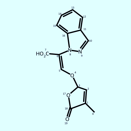 CC1=CC(O/C=C(/C(=O)O)n2ncc3ccccc32)OC1=O